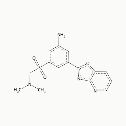 CN(C)CS(=O)(=O)c1cc(N)cc(-c2nc3ncccc3o2)c1